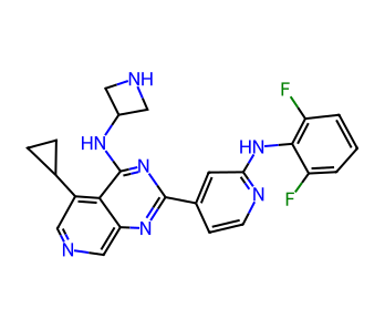 Fc1cccc(F)c1Nc1cc(-c2nc(NC3CNC3)c3c(C4CC4)cncc3n2)ccn1